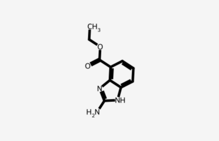 CCOC(=O)c1cccc2[nH]c(N)nc12